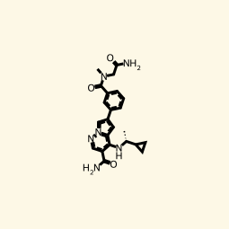 C[C@@H](Nc1c(C(N)=O)cnn2cc(-c3cccc(C(=O)N(C)CC(N)=O)c3)cc12)C1CC1